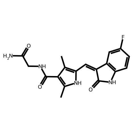 Cc1[nH]c(/C=C2\C(=O)Nc3ccc(F)cc32)c(C)c1C(=O)NCC(N)=O